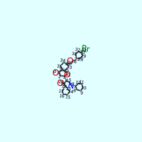 O=c1cc(-c2cn(-c3ccccc3)c3ccccc3c2=O)oc2cc(OCc3ccc(Br)cc3)ccc12